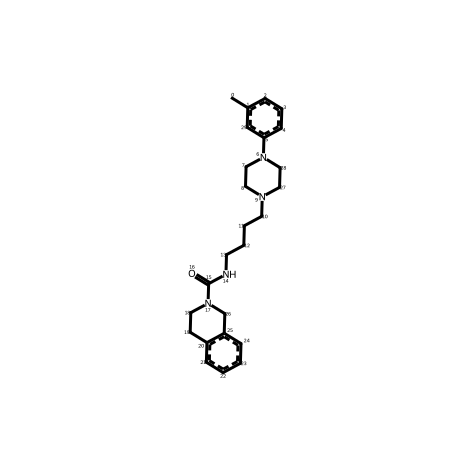 Cc1cccc(N2CCN(CCCCNC(=O)N3CCc4ccccc4C3)CC2)c1